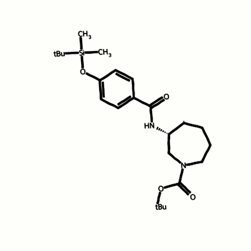 CC(C)(C)OC(=O)N1CCC[CH][C@@H](NC(=O)c2ccc(O[Si](C)(C)C(C)(C)C)cc2)C1